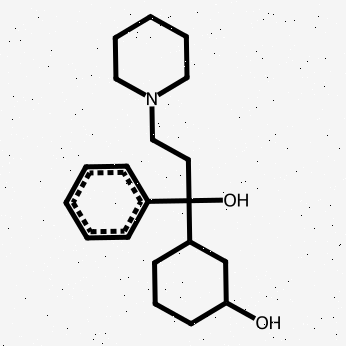 OC1CCCC(C(O)(CCN2CCCCC2)c2ccccc2)C1